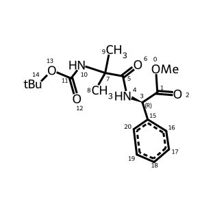 COC(=O)[C@H](NC(=O)C(C)(C)NC(=O)OC(C)(C)C)c1ccccc1